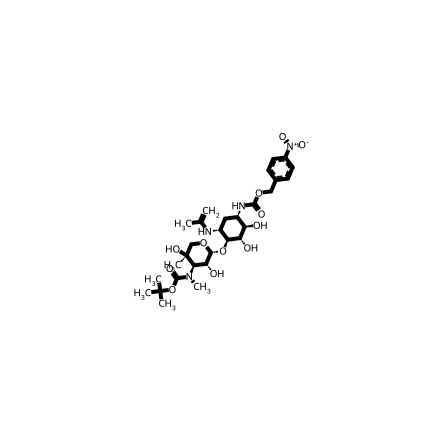 C=C(C)N[C@@H]1C[C@H](NC(=O)OCc2ccc([N+](=O)[O-])cc2)[C@@H](O)[C@H](O)[C@H]1O[C@H]1OC[C@](C)(O)[C@H](N(C)C(=O)OC(C)(C)C)[C@H]1O